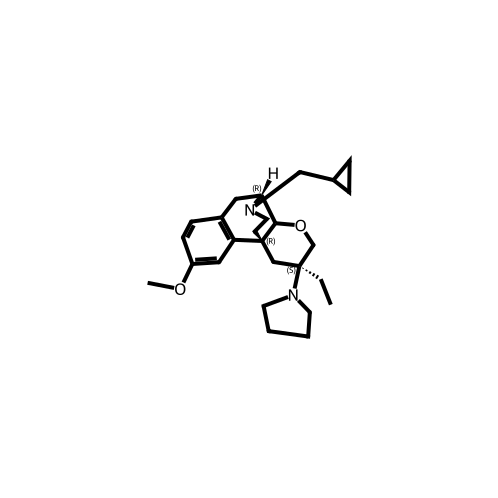 CC[C@@]1(N2CCCC2)COC2[C@H]3Cc4ccc(OC)cc4[C@@]2(CCN3CC2CC2)C1